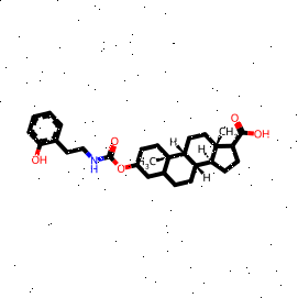 C[C@]12CCC(OC(=O)NCCc3ccccc3O)CC1CC[C@@H]1[C@H]2CC[C@]2(C)C(C(=O)O)CC[C@@H]12